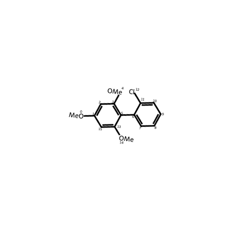 COc1cc(OC)c(-c2ccccc2Cl)c(OC)c1